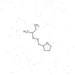 CCC(C)SSCC1CCCO1